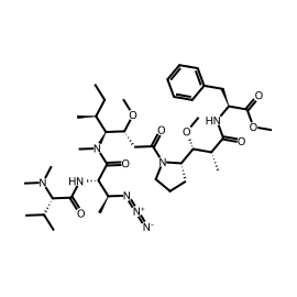 CC[C@H](C)[C@@H]([C@@H](CC(=O)N1CCC[C@H]1[C@H](OC)[C@@H](C)C(=O)N[C@@H](Cc1ccccc1)C(=O)OC)OC)N(C)C(=O)[C@@H](NC(=O)[C@H](C(C)C)N(C)C)[C@H](C)N=[N+]=[N-]